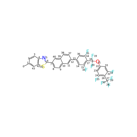 Cc1ccc2nc(-c3ccc4cc(-c5cc(F)c(C(F)(F)Oc6cc(F)c(C(F)(F)F)c(F)c6)c(F)c5)ccc4c3)sc2c1